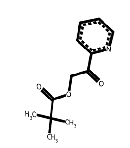 CC(C)(C)C(=O)OCC(=O)c1ccccn1